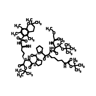 COCC(=O)N[C@H](C(=O)N[C@@H](CCCCNC(=O)OC(C)(C)C)C(=O)N1CCC[C@H]1C(=O)N1CCC[C@H]1C(=O)N[C@@H](CCCC(=N)NS(=O)(=O)c1c(C)c(C)c2c(c1C)CCC(C)(C)O2)C(=O)OC(C)(C)C)[C@@H](C)OC(C)(C)C